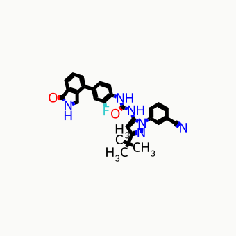 CC(C)(C)c1cc(NC(=O)Nc2ccc(-c3cccc4c3CNC4=O)cc2F)n(-c2cccc(C#N)c2)n1